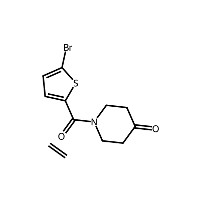 C=C.O=C1CCN(C(=O)c2ccc(Br)s2)CC1